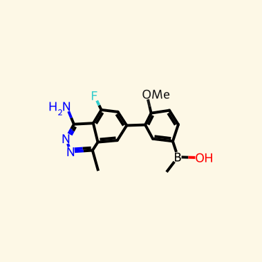 COc1ccc(B(C)O)cc1-c1cc(F)c2c(N)nnc(C)c2c1